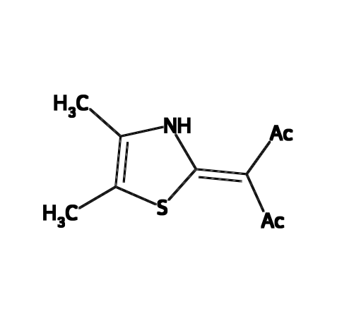 CC(=O)C(C(C)=O)=C1NC(C)=C(C)S1